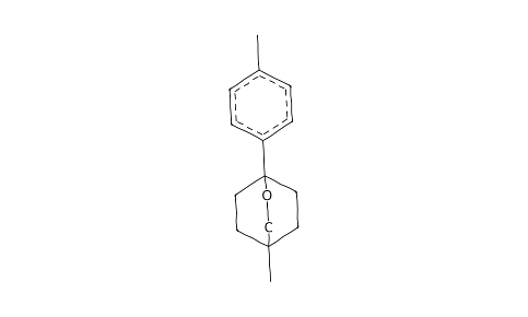 Cc1ccc(C23CCC(C)(CC2)CO3)cc1